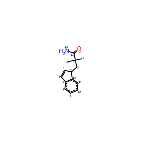 CC(C)(CC1C=Cc2ccccc21)C(N)=O